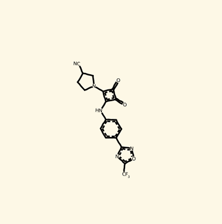 N#CC1CCN(c2c(Nc3ccc(-c4noc(C(F)(F)F)n4)cc3)c(=O)c2=O)C1